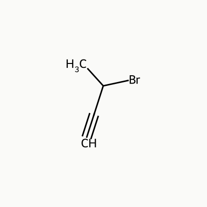 C#CC(C)Br